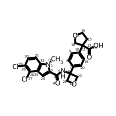 Cn1c(C(=O)NC2(c3ccc(C4(C(=O)O)CCOC4)cc3)COC2)cc2c(Cl)c(Cl)ccc21